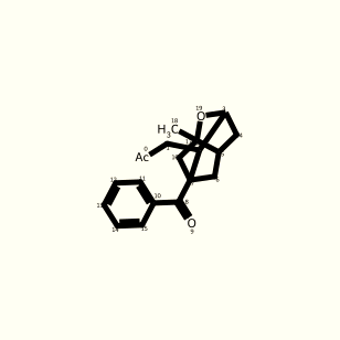 CC(=O)CC1C2CC3CC1(C(=O)c1ccccc1)CC3(C)O2